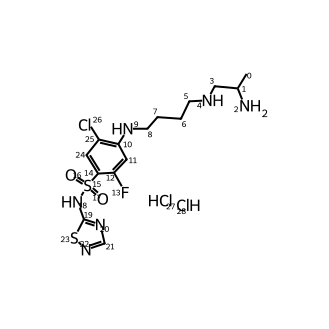 CC(N)CNCCCCNc1cc(F)c(S(=O)(=O)Nc2ncns2)cc1Cl.Cl.Cl